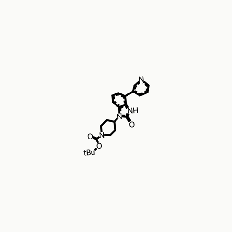 CC(C)(C)OC(=O)N1CCC(n2c(=O)[nH]c3c(-c4cccnc4)cccc32)CC1